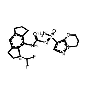 NS(=O)(=NC(=O)Nc1c2c(cc3c1[C@@H](C(F)F)CC3)CCC2)c1cnn2c1OCCC2